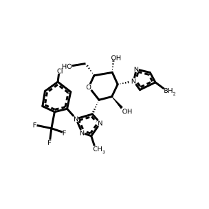 Bc1cnn([C@H]2[C@@H](O)[C@@H](CO)O[C@@H](c3nc(C)nn3-c3cc(Cl)ccc3C(F)(F)F)[C@@H]2O)c1